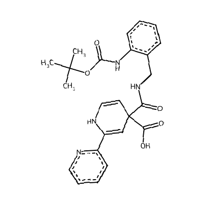 CC(C)(C)OC(=O)Nc1ccccc1CNC(=O)C1(C(=O)O)C=CNC(c2ccccn2)=C1